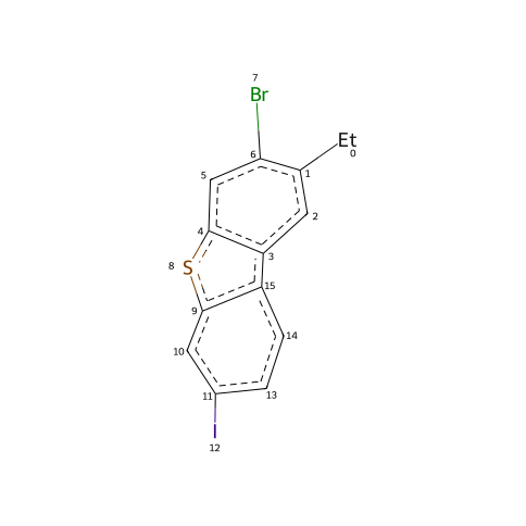 CCc1cc2c(cc1Br)sc1cc(I)ccc12